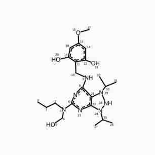 CCCN(CO)c1nc(NCc2c(O)cc(OC)cc2O)c2c(n1)N(C(C)C)NN2C(C)C